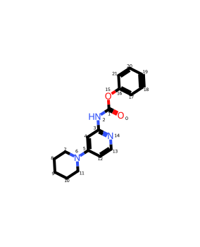 O=C(Nc1cc(N2CCCCC2)ccn1)Oc1cc#ccc1